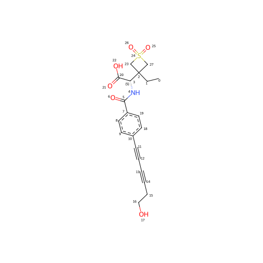 CCC1([C@H](NC(=O)c2ccc(C#CC#CCCO)cc2)C(=O)O)CS(=O)(=O)C1